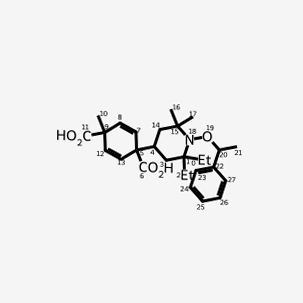 CCC1(CC)CC(C2(C(=O)O)C=CC(C)(C(=O)O)C=C2)CC(C)(C)N1OC(C)c1ccccc1